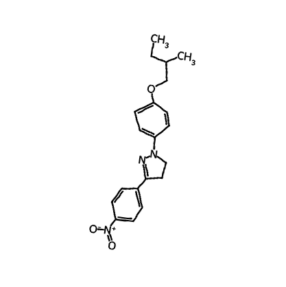 CCC(C)COc1ccc(N2CCC(c3ccc([N+](=O)[O-])cc3)=N2)cc1